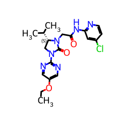 CCOc1cnc(N2C[C@H](C(C)C)N(CC(=O)Nc3cc(Cl)ccn3)C2=O)nc1